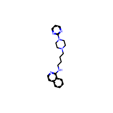 c1cnc(N2CCN(CCCCNc3nccc4ccccc34)CC2)nc1